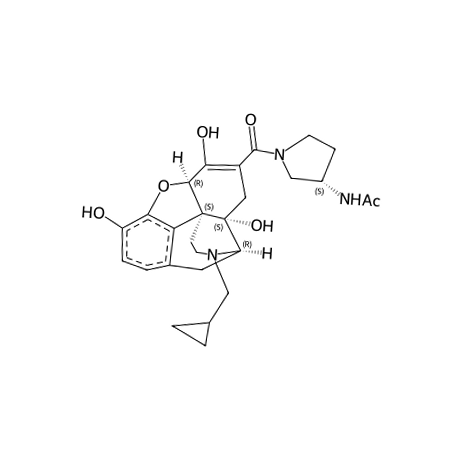 CC(=O)N[C@H]1CCN(C(=O)C2=C(O)[C@@H]3Oc4c(O)ccc5c4[C@@]34CCN(CC3CC3)[C@H](C5)[C@]4(O)C2)C1